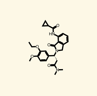 CCOc1cc([C@@H](CC(=O)N(C)C)N2Cc3cccc(NC(=O)C4CC4)c3C2=O)ccc1OC